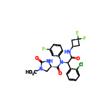 O=C(NC1CC(F)(F)C1)C(c1ccccc1Cl)N(C(=O)[C@@H]1CN(C(=O)O)C(=O)N1)c1cccc(F)c1